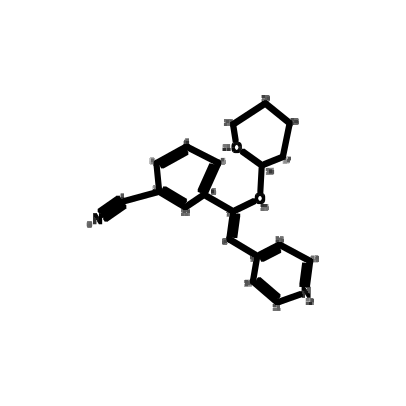 N#Cc1cccc(C(=Cc2ccncc2)OC2CCCCO2)c1